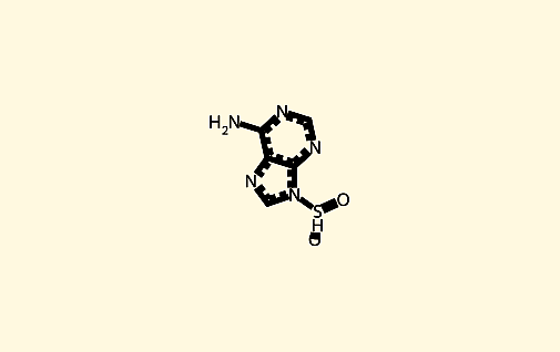 Nc1ncnc2c1ncn2[SH](=O)=O